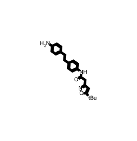 CC(C)(C)c1cc(CC(=O)Nc2ccc(CCc3ccc(N)cc3)cc2)no1